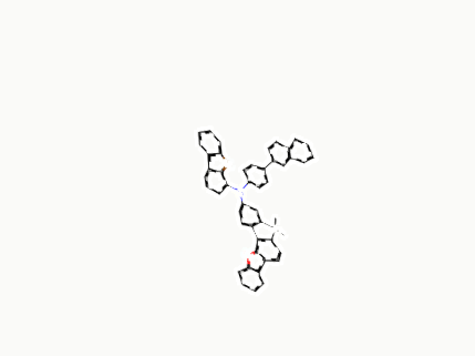 C[Si]1(C)c2cc(N(c3ccc(-c4ccc5ccccc5c4)cc3)c3cccc4c3sc3ccccc34)ccc2-c2c1ccc1c2oc2ccccc21